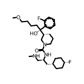 CNC[C@H](C[C@H]1CC[C@@H](F)CC1)NC(=O)N1CCC[C@@H]([C@@](O)(CCCCOC)c2ccccc2F)C1